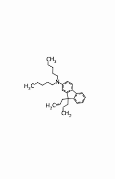 C=CCC1(CC=C)c2ccccc2-c2ccc(N(CCCCC)CCCCC)cc21